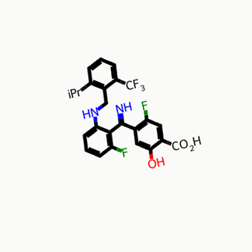 CC(C)c1cccc(C(F)(F)F)c1CNc1cccc(F)c1C(=N)c1cc(O)c(C(=O)O)cc1F